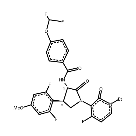 CCn1ccc(F)c(N2C[C@@H](c3c(F)cc(OC)cc3F)[C@H](NC(=O)c3ccc(OC(F)F)cc3)C2=O)c1=O